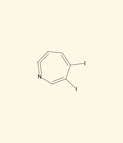 IC1=CC=C=NC=C1I